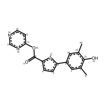 Cc1cc(-c2ccc(C(=O)Oc3ccncn3)s2)cc(C)c1O